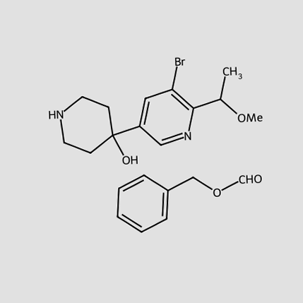 COC(C)c1ncc(C2(O)CCNCC2)cc1Br.O=COCc1ccccc1